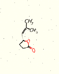 CC(C)=C[C@H]1CCC(=O)O1